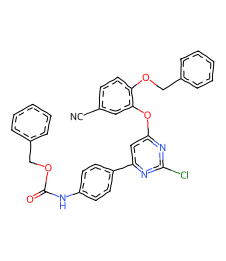 N#Cc1ccc(OCc2ccccc2)c(Oc2cc(-c3ccc(NC(=O)OCc4ccccc4)cc3)nc(Cl)n2)c1